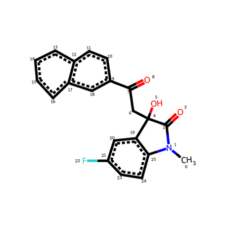 CN1C(=O)C(O)(CC(=O)c2ccc3ccccc3c2)c2cc(F)ccc21